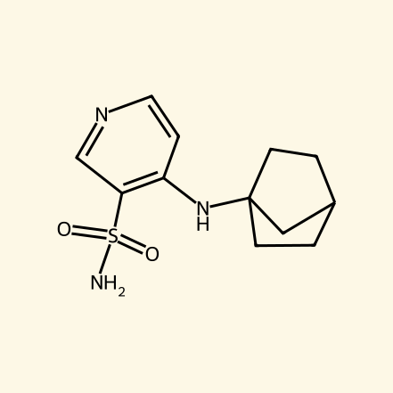 NS(=O)(=O)c1cnccc1NC12CCC(CC1)C2